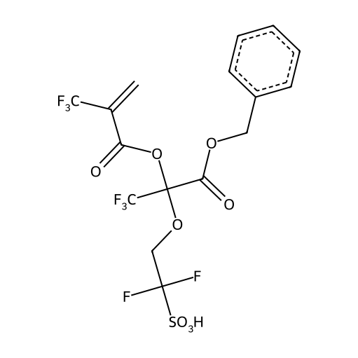 C=C(C(=O)OC(OCC(F)(F)S(=O)(=O)O)(C(=O)OCc1ccccc1)C(F)(F)F)C(F)(F)F